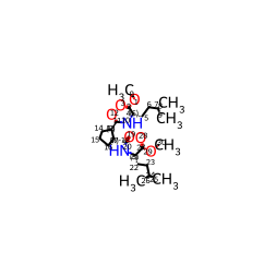 COC(=O)[C@H](CCC(C)C)NC(=O)[C@@H]1CCC[C@H]1C(=O)N[C@@H](CCC(C)C)C(=O)OC